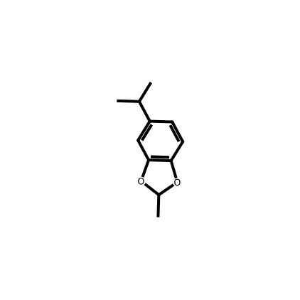 CC1Oc2ccc(C(C)C)cc2O1